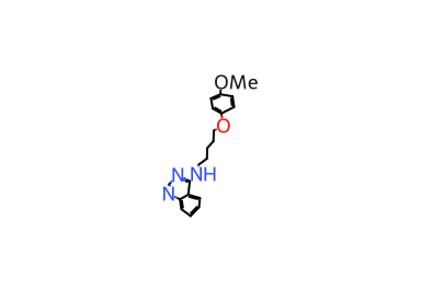 COc1ccc(OCCCCCNc2ncnc3ccccc23)cc1